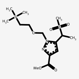 COC(=O)c1cc(C(C)S(C)(=O)=O)n(COCC[Si](C)(C)C)n1